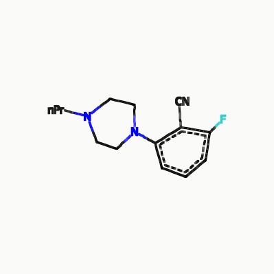 CCCN1CCN(c2cccc(F)c2C#N)CC1